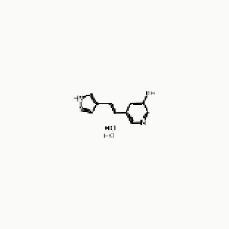 Cl.Cl.Oc1cncc(/C=C/c2cn[nH]c2)c1